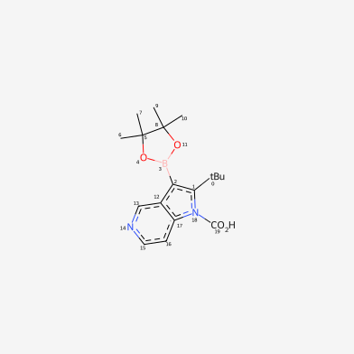 CC(C)(C)c1c(B2OC(C)(C)C(C)(C)O2)c2cnccc2n1C(=O)O